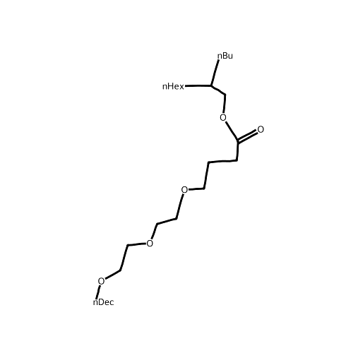 CCCCCCCCCCOCCOCCOCCCC(=O)OCC(CCCC)CCCCCC